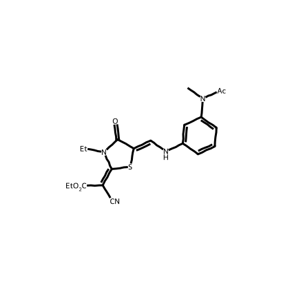 CCOC(=O)C(C#N)=c1sc(=CNc2cccc(N(C)C(C)=O)c2)c(=O)n1CC